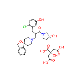 O=C(C(Cc1cc(O)ccc1Cl)CN1CCC2(CC1)OCc1ccccc12)N1CC[C@H](O)C1.O=C(O)CC(O)(CC(=O)O)C(=O)O